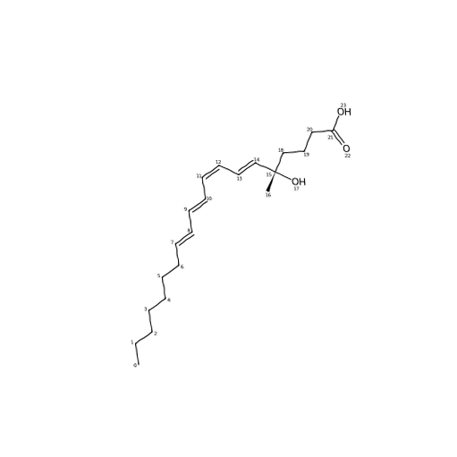 CCCCCCC/C=C/C=C/C=C\C=C\[C@@](C)(O)CCCC(=O)O